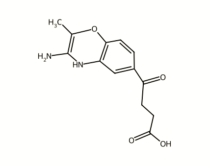 CC1=C(N)Nc2cc(C(=O)CCC(=O)O)ccc2O1